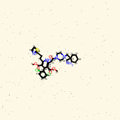 COC(=O)C1=C(CCc2nccs2)NC(CC(=O)N2CCN(CC3(CN)CCCCC3)CC2)=C(C(=O)OC)C1c1c(Cl)cccc1Cl